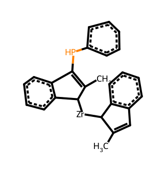 CC1=Cc2ccccc2[CH]1[Zr][CH]1C(C)=C(Pc2ccccc2)c2ccccc21